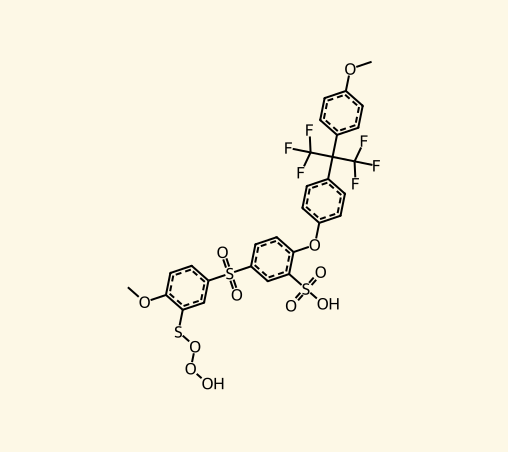 COc1ccc(C(c2ccc(Oc3ccc(S(=O)(=O)c4ccc(OC)c(SOOO)c4)cc3S(=O)(=O)O)cc2)(C(F)(F)F)C(F)(F)F)cc1